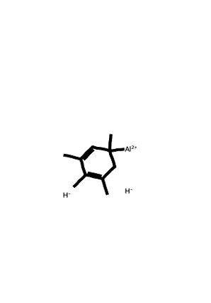 CC1=C[C](C)([Al+2])CC(C)=C1C.[H-].[H-]